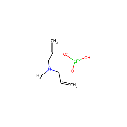 C=CCN(C)CC=C.[O-][Cl+2]([O-])O